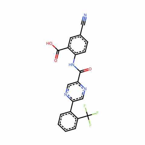 N#Cc1ccc(NC(=O)c2cnc(-c3ccccc3C(F)(F)F)cn2)c(C(=O)O)c1